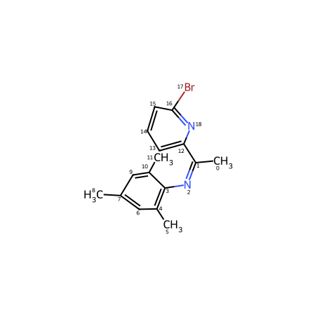 C/C(=N/c1c(C)cc(C)cc1C)c1cccc(Br)n1